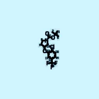 CC(C)(C)OC(=O)N1CCC(Oc2cc(C(F)(F)F)ccc2Cl)C1